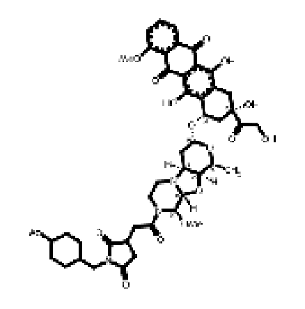 COc1cccc2c1C(=O)c1c(O)c3c(c(O)c1C2=O)C[C@@](O)(C(=O)CO)C[C@@H]3O[C@H]1C[C@H]2[C@H](O[C@@H]3[C@@H](OC)N(C(=O)CC4CC(=O)N(CC5CCC(C(C)=O)CC5)C4=O)CCN32)[C@H](C)O1